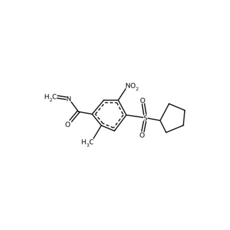 C=NC(=O)c1cc([N+](=O)[O-])c(S(=O)(=O)C2CCCC2)cc1C